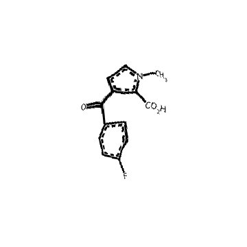 Cn1ccc(C(=O)c2ccc(F)cc2)c1C(=O)O